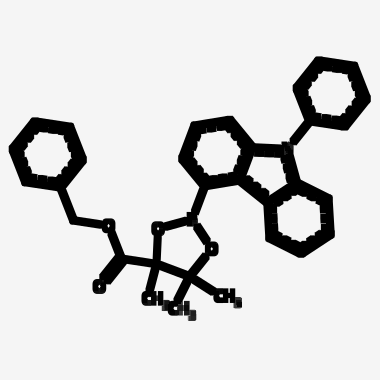 CC1(C)OB(c2cccc3c2c2ccccc2n3-c2ccccc2)OC1(C)C(=O)OCc1ccccc1